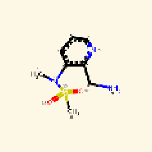 CN(c1cccnc1CN)S(C)(=O)=O